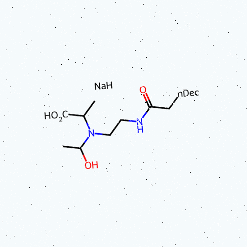 CCCCCCCCCCCC(=O)NCCN(C(C)O)C(C)C(=O)O.[NaH]